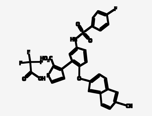 N#Cc1ccc2cc(Oc3ccc(NS(=O)(=O)c4ccc(F)cc4)cc3-c3ccsc3C(=O)O)ccc2c1.O=C(O)C(F)(F)F